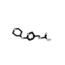 O=C(O)NCc1ccc(OC2CCOCC2)nc1